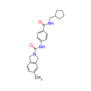 Cc1ccc2c(c1)CN(C(=O)Nc1ccc(C(=O)NCC3CCCC3)cc1)C2